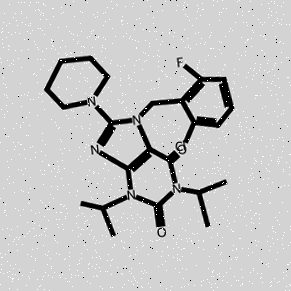 CC(C)n1c(=O)c2c(nc(N3CCCCC3)n2Cc2c(F)cccc2Cl)n(C(C)C)c1=O